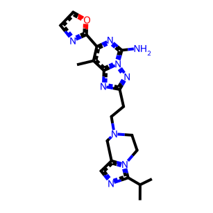 Cc1c(-c2ncco2)nc(N)n2nc(CCN3CCn4c(cnc4C(C)C)C3)nc12